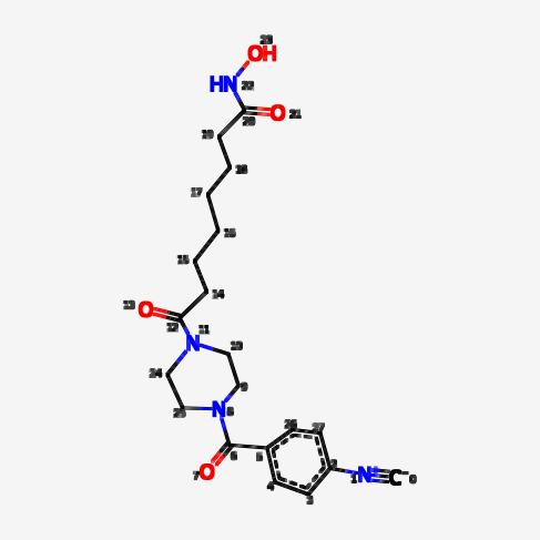 [C-]#[N+]c1ccc(C(=O)N2CCN(C(=O)CCCCCCC(=O)NO)CC2)cc1